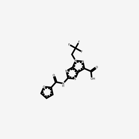 O=C(Nc1nc2c(s1)c(C(=O)O)nn2CC(F)(F)F)c1ccco1